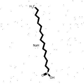 CCCCCCCCCCCCCCCCS(=O)O.[NaH]